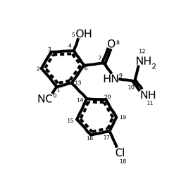 N#Cc1ccc(O)c(C(=O)NC(=N)N)c1-c1ccc(Cl)cc1